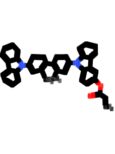 C=CC(=O)Oc1ccc2c(c1)c1ccccc1n2-c1ccc(-c2ccc(-n3c4ccccc4c4ccccc43)cc2C)c(C)c1